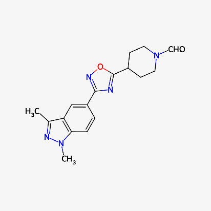 Cc1nn(C)c2ccc(-c3noc(C4CCN(C=O)CC4)n3)cc12